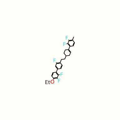 CCOc1ccc(-c2ccc(CCC3CC=C(c4ccc(C)c(F)c4F)CC3)c(F)c2)c(F)c1F